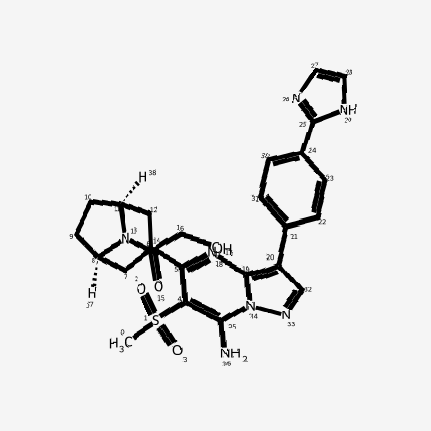 CS(=O)(=O)c1c(C2C[C@H]3CC[C@@H](C2)N3C(=O)CO)nc2c(-c3ccc(-c4ncc[nH]4)cc3)cnn2c1N